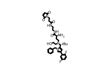 CC(C)(C)[C@H](c1cc(-c2cc(F)ccc2F)cn1Cc1ccccc1)N(CCO)CC[C@H](N)C(=O)NCCNC(=O)CCN1C(=O)C=CC1=O